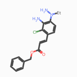 CCN(N)c1ccc(/C=C/C(=O)OCc2ccccc2)c(Cl)c1N